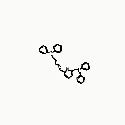 C(=N\CCCP(c1ccccc1)c1ccccc1)/c1cccc(CP(c2ccccc2)c2ccccc2)n1